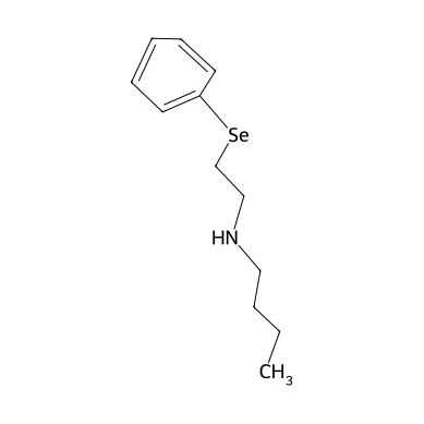 CCCCNCC[Se]c1ccccc1